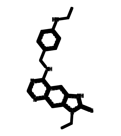 CCNc1ccc(CNc2ncnc3cc4c(cc23)[nH]c(=S)n4CC)cc1